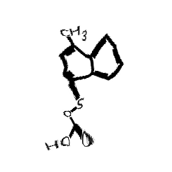 Cc1ccc(SOC(=O)O)c2ccccc12